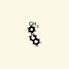 Cc1ccc(N2CCC3CC=CC=C3C2)cc1